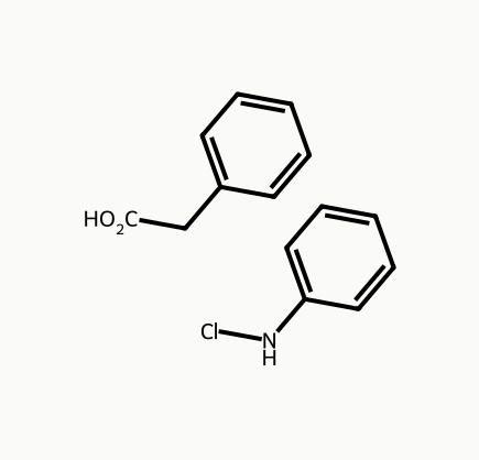 ClNc1ccccc1.O=C(O)Cc1ccccc1